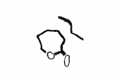 CCCC.O=C1CCCCCO1